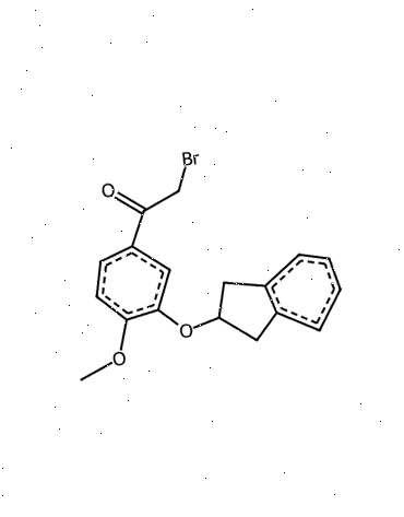 COc1ccc(C(=O)CBr)cc1OC1Cc2ccccc2C1